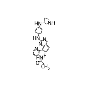 C=CC(=O)Nc1cccnc1-c1c(F)ccc2cnc(Nc3ccc(N[C@@H]4CCNC4)cc3)nc12